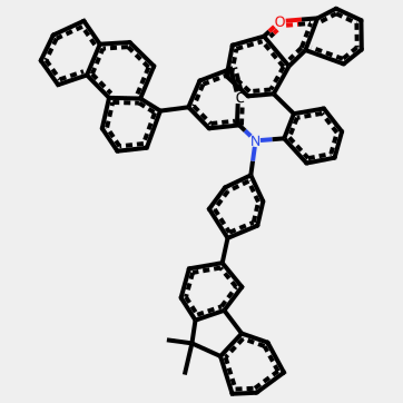 CC1(C)c2ccccc2-c2cc(-c3ccc(N(c4cccc(-c5cccc6c5ccc5ccccc56)c4)c4ccccc4-c4cccc5oc6ccccc6c45)cc3)ccc21